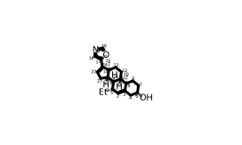 CC[C@H]1C=C2C[C@@H](O)CC[C@]2(C)[C@H]2CC[C@]3(C)C(c4cnco4)=CC[C@H]3[C@H]12